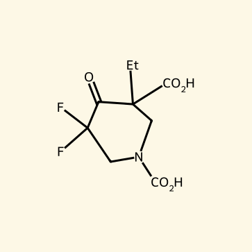 CCC1(C(=O)O)CN(C(=O)O)CC(F)(F)C1=O